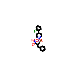 O=C(NO)C(Cc1ccccc1)CS(=O)(=O)N1CCC(c2ccccc2F)CC1